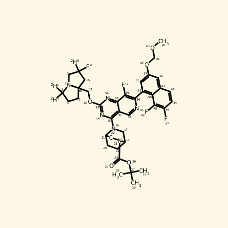 [2H]C1(F)CN2C([2H])([2H])CCC2(COc2nc(N3CC4CCC3CN4C(=O)OC(C)(C)C)c3cnc(-c4cc(OCOC)cc5ccc(F)c(F)c45)c(F)c3n2)C1